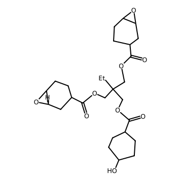 CCC(COC(=O)C1CCC(O)CC1)(COC(=O)C1CCC2OC2C1)COC(=O)C1CCC2O[C@H]2C1